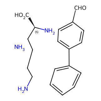 N.NCCCC[C@H](N)C(=O)O.O=Cc1ccc(-c2ccccc2)cc1